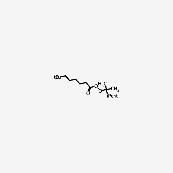 CCCC(C)C(C)(C)OOC(=O)CCCCCC(C)(C)C